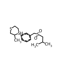 CC(C)CS(=O)(=O)Cc1cccc([SH]2CCSCC2C)c1